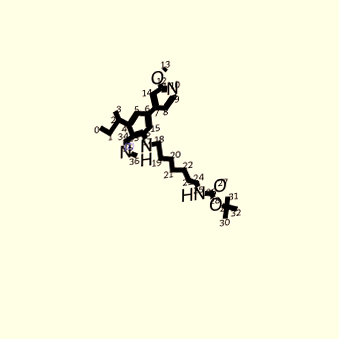 CCC(C)c1cc(-c2ccnc(OC)c2)cc(NCCCCCCCNC(=O)OC(C)(C)C)c1/C=N\C